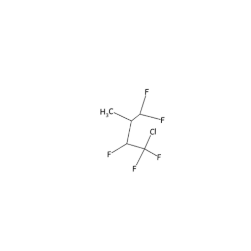 CC(C(F)F)C(F)C(F)(F)Cl